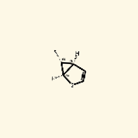 C[C@@H]1[C@H]2C=CS[C@@H]12